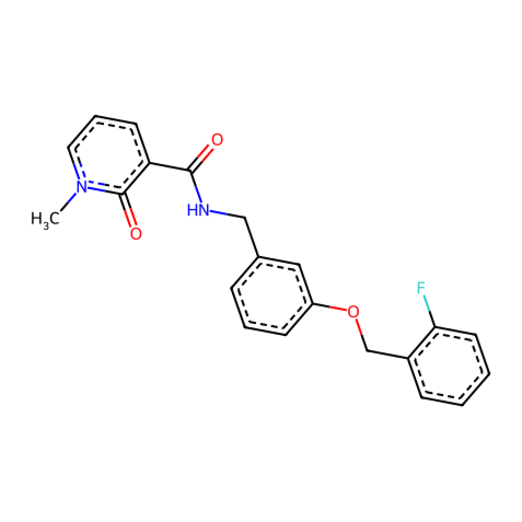 Cn1cccc(C(=O)NCc2cccc(OCc3ccccc3F)c2)c1=O